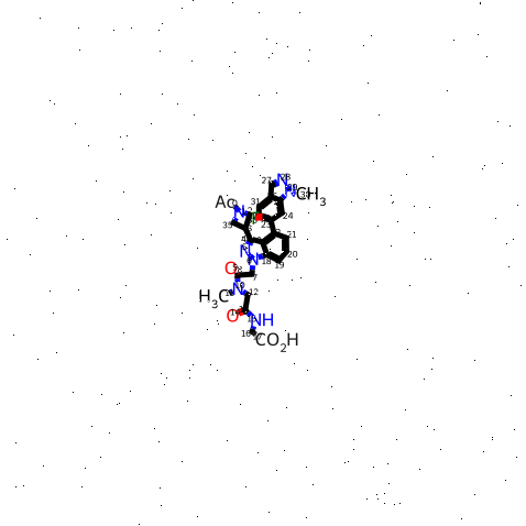 CC(=O)N1CC(c2nn(CC(=O)N(C)CC(=O)NCC(=O)O)c3cccc(-c4cc5c(cnn5C)cc4F)c23)C1